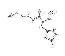 Cc1csc(CC(NC(=O)O)C(N)=NOCCO)c1